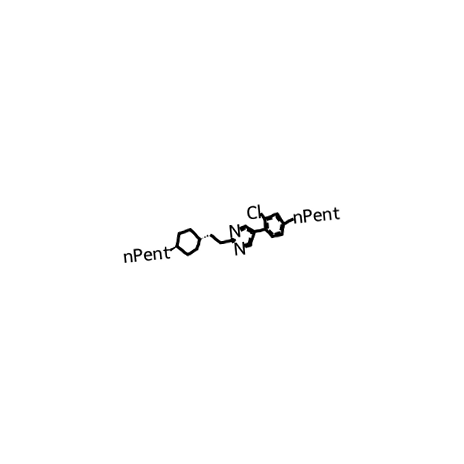 CCCCCc1ccc(-c2cnc(CC[C@H]3CC[C@H](CCCCC)CC3)nc2)c(Cl)c1